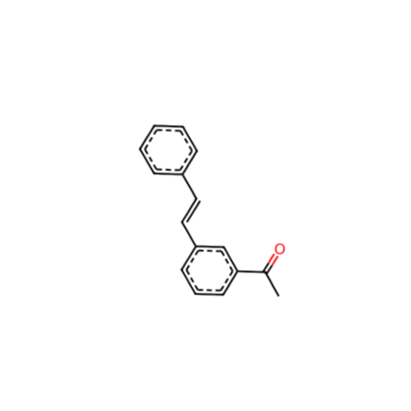 CC(=O)c1cccc(C=Cc2ccccc2)c1